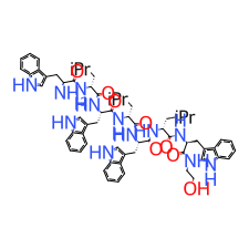 CC(C)C[C@@H](NC(=O)[C@H](Cc1c[nH]c2ccccc12)NC(=O)[C@@H](CC(C)C)NC(=O)[C@H](Cc1c[nH]c2ccccc12)NC(=O)[C@@H](CC(C)C)NC(=O)[C@@H](N)Cc1c[nH]c2ccccc12)C(=O)N[C@@H](Cc1c[nH]c2ccccc12)C(=O)NCCO